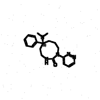 CN(C)[C@@]1(c2ccccc2)CCCN(c2cccnn2)C(=O)NCC1